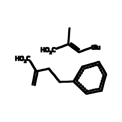 C=C(CCc1ccccc1)C(=O)O.CC(=CC(C)(C)C)C(=O)O